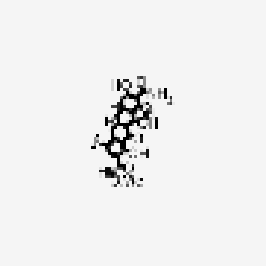 CONC(=O)c1cc(N(C)C)c2c(c1O)C(=O)C1=C(O)[C@]3(O)C(=O)C(C(N)=O)=C(O)C[C@@H]3C[C@@H]1C2